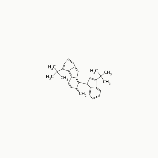 C=c1ccc2c(c1C1C=C(C(C)(C)C)c3ccccc31)[C]=c1cccc(C(C)(C)C)c1=2